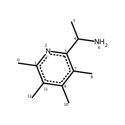 Cc1nc(C(C)N)c(C)c(C)c1C